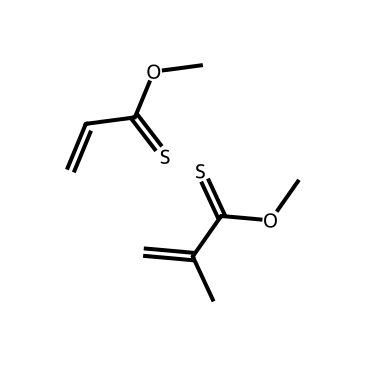 C=C(C)C(=S)OC.C=CC(=S)OC